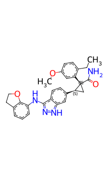 CCc1ccc(OC)cc1[C@@]1(C(N)=O)C[C@H]1c1ccc2c(Nc3cccc4c3OCC4)n[nH]c2c1